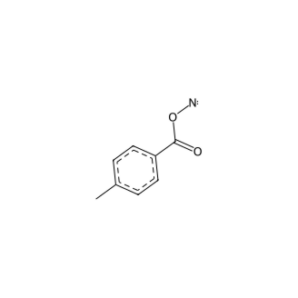 Cc1ccc(C(=O)O[N])cc1